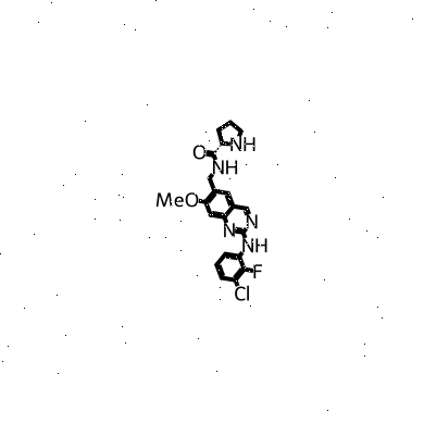 COc1cc2nc(Nc3cccc(Cl)c3F)ncc2cc1CNC(=O)[C@@H]1CCCN1